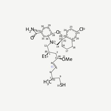 CC[C@H](C[C@H](/C=C/C[C@H](C)CS)OC)CN1C[C@@]2(CCCc3cc(Cl)ccc32)COc2ccc(C(N)=O)cc21